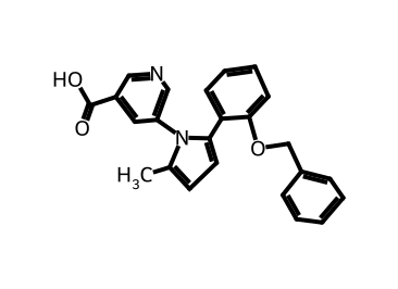 Cc1ccc(-c2ccccc2OCc2ccccc2)n1-c1cncc(C(=O)O)c1